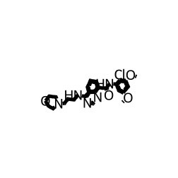 COc1cc(NC(=O)c2cccc3c(NCCCN4CCOCC4)ncnc23)c(Cl)c(OC)c1